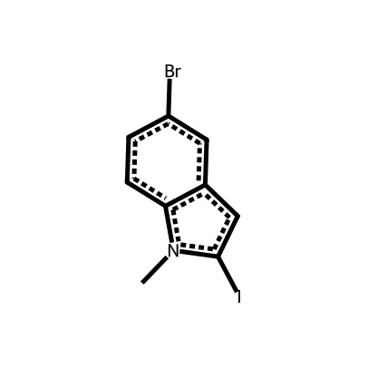 Cn1c(I)cc2cc(Br)ccc21